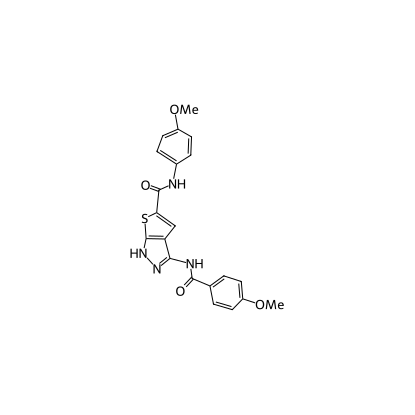 COc1ccc(NC(=O)c2cc3c(NC(=O)c4ccc(OC)cc4)n[nH]c3s2)cc1